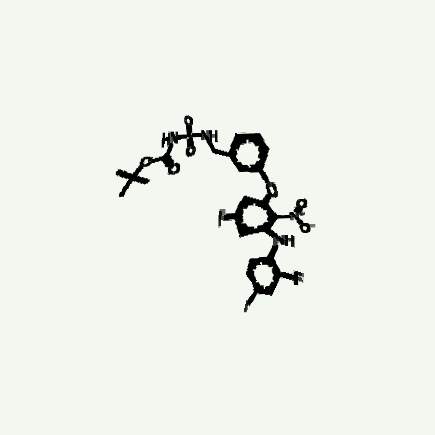 CC(C)(C)OC(=O)NS(=O)(=O)NCc1cccc(Oc2cc(F)cc(Nc3ccc(I)cc3F)c2[N+](=O)[O-])c1